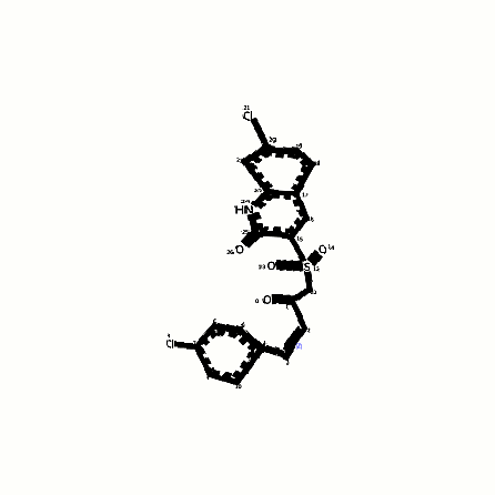 O=C(/C=C\c1ccc(Cl)cc1)CS(=O)(=O)c1cc2ccc(Cl)cc2[nH]c1=O